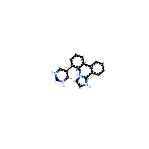 c1ccc2c(c1)c1cccc(-c3cncnc3)c1n1ccnc21